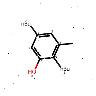 CCCCc1cc(C)c(CCCC)c(O)c1